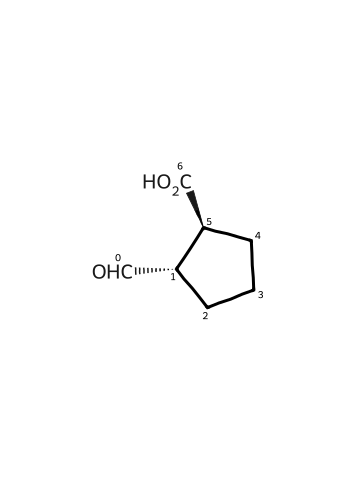 O=C[C@H]1CCC[C@@H]1C(=O)O